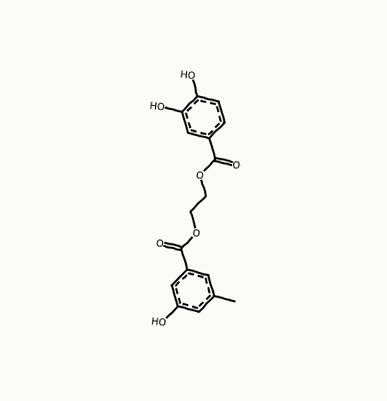 Cc1cc(O)cc(C(=O)OCCOC(=O)c2ccc(O)c(O)c2)c1